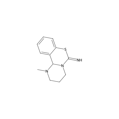 CN1CCCN2C(=N)Sc3ccccc3C12